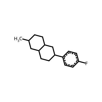 CC1CCC2CC(c3ccc(F)cc3)CCC2C1